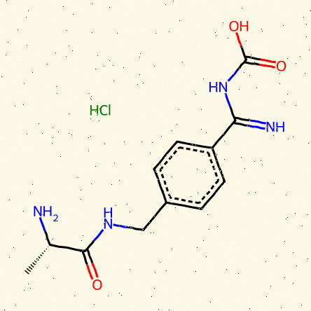 C[C@H](N)C(=O)NCc1ccc(C(=N)NC(=O)O)cc1.Cl